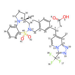 Cc1ccc([C@H](CC(=O)O)c2ccn3c(C(F)(F)F)nnc3c2C)cc1CN1C[C@H]2CCCN2c2ccccc2S1(=O)=O